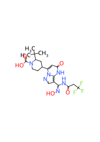 CC(C)(C)C1CC(c2cc(=O)[nH]c3c(/C(=N\O)NC(=O)CC(F)(F)F)cnn23)CCN1C(=O)O